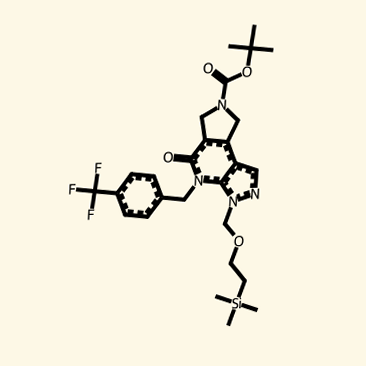 CC(C)(C)OC(=O)N1Cc2c(c3cnn(COCC[Si](C)(C)C)c3n(Cc3ccc(C(F)(F)F)cc3)c2=O)C1